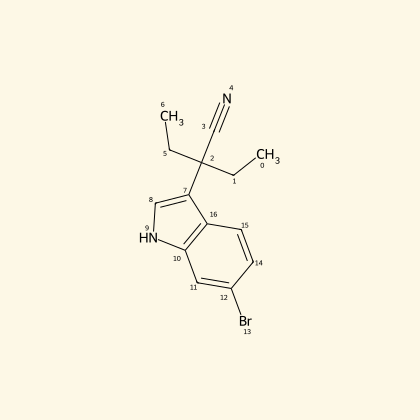 CCC(C#N)(CC)c1c[nH]c2cc(Br)ccc12